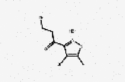 Br.Cc1[nH]nc(C(=O)CCBr)c1Br